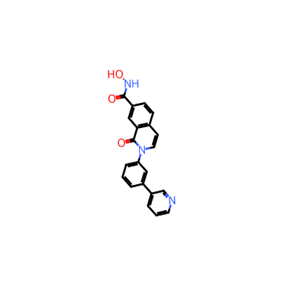 O=C(NO)c1ccc2ccn(-c3cccc(-c4cccnc4)c3)c(=O)c2c1